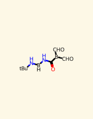 CC(C)(C)NBNC(=O)B(C=O)C=O